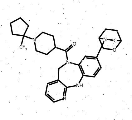 O=C(C1CCN(C2(C(F)(F)F)CCCC2)CC1)N1Cc2cccnc2Nc2ccc(N3CC4CCC3CO4)cc21